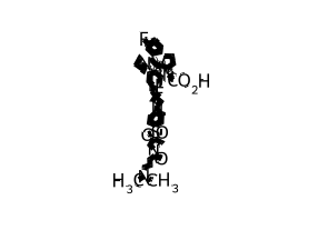 CN(C)CCCC(=O)N1CC(S(=O)(=O)c2ccc(N3CC(F)(CN4CCC([C@@H]([C@H]5CCC[C@@H]5NC(=O)O)[C@@H](c5cccc(F)c5)N5CCC5)CC4)C3)cc2)C1